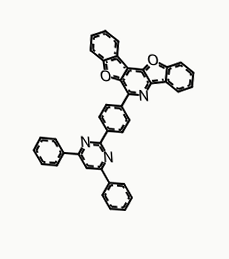 c1ccc(-c2cc(-c3ccccc3)nc(-c3ccc(-c4nc5c6ccccc6oc5c5c4oc4ccccc45)cc3)n2)cc1